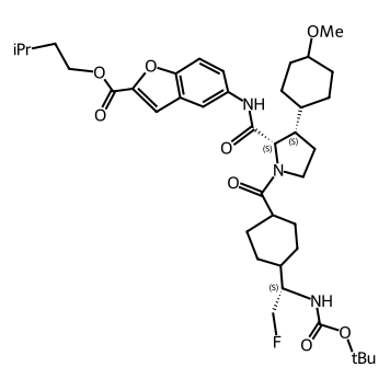 COC1CCC([C@@H]2CCN(C(=O)C3CCC([C@@H](CF)NC(=O)OC(C)(C)C)CC3)[C@@H]2C(=O)Nc2ccc3oc(C(=O)OCCC(C)C)cc3c2)CC1